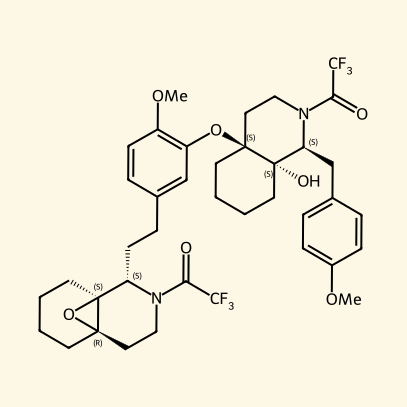 COc1ccc(C[C@@H]2N(C(=O)C(F)(F)F)CC[C@@]3(Oc4cc(CC[C@@H]5N(C(=O)C(F)(F)F)CC[C@]67CCCC[C@]56O7)ccc4OC)CCCC[C@]23O)cc1